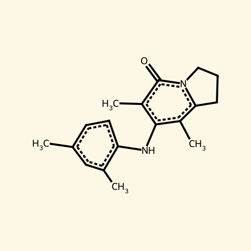 Cc1ccc(Nc2c(C)c3n(c(=O)c2C)CCC3)c(C)c1